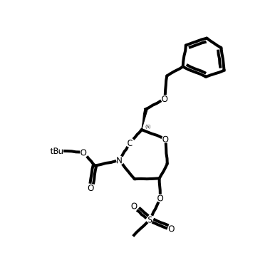 CC(C)(C)OC(=O)N1CC(OS(C)(=O)=O)CO[C@H](COCc2ccccc2)C1